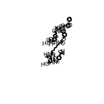 Cc1ncsc1-c1ccc([C@H](C)NC(=O)[C@@H]2C[C@@H](O)CN2C(=O)[C@@H](NC(=O)CCCCCCNC(=O)COc2ccc3c(c2)CN(C(=O)[C@@H](NC(=O)c2cc4cc(C(F)(F)P(=O)(O)O)ccc4s2)C(C)(C)C)[C@H](C(=O)N2CCO[C@H](c4ccccc4)C2)C3)C(C)(C)C)cc1